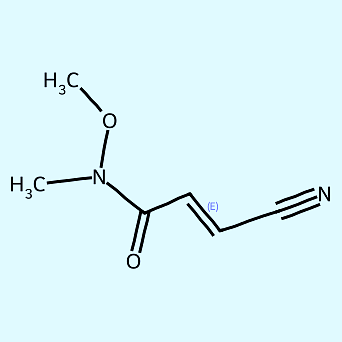 CON(C)C(=O)/C=C/C#N